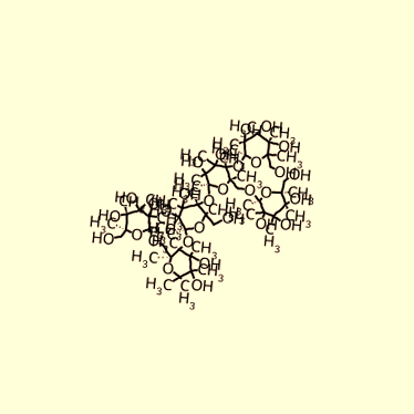 CC1(C)O[C@@](C)(CO[C@@]2(C)O[C@@](C)(CO)[C@](C)(O)C(C)(O)C2(C)O)[C@@](C)(O[C@]2(C)OC(C)(CO)[C@@](C)(O[C@]3(C)O[C@@](C)(CO[C@@]4(C)O[C@@](C)(CO)[C@](C)(O)C(C)(O)C4(C)O)[C@@](C)(O[C@]4(C)OC(C)(CO)[C@@](C)(O)C(C)(O)[C@@]4(C)O)C(C)(O)C3(C)O)C(C)(O)[C@@]2(C)O)C(C)(O)C1(C)O